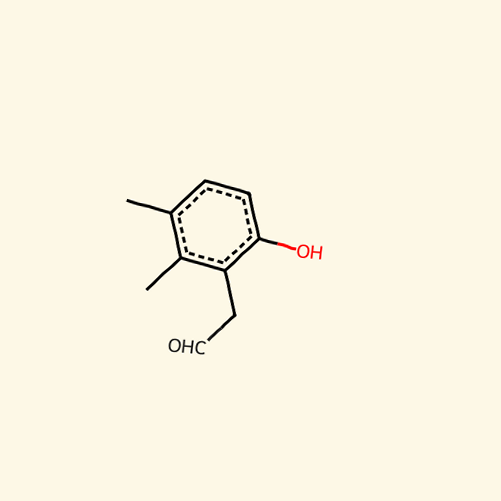 Cc1ccc(O)c(CC=O)c1C